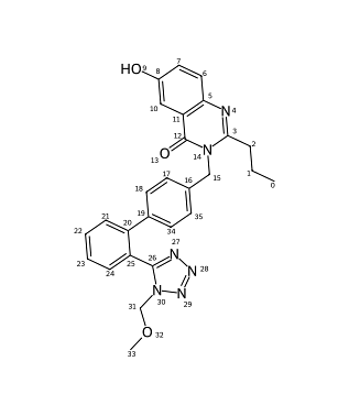 CCCc1nc2ccc(O)cc2c(=O)n1Cc1ccc(-c2ccccc2-c2nnnn2COC)cc1